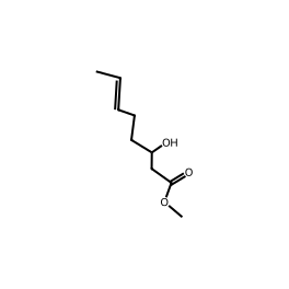 CC=CCCC(O)CC(=O)OC